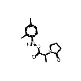 Cc1ccc(NOC(=O)C(C)N2CCCC2=O)c(C)c1